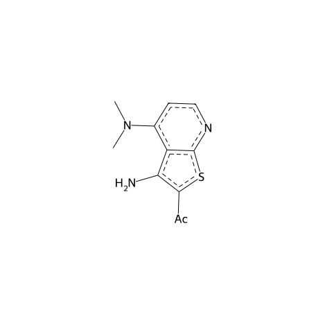 CC(=O)c1sc2nccc(N(C)C)c2c1N